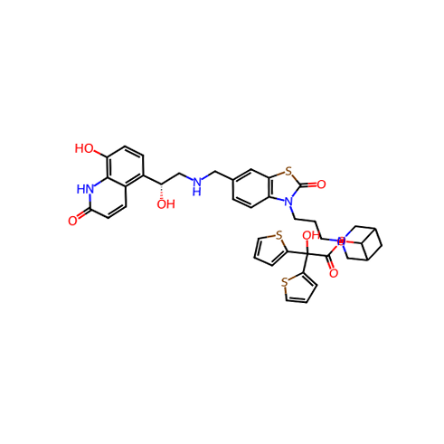 O=C(OC1C2CC1CN(CCCn1c(=O)sc3cc(CNC[C@H](O)c4ccc(O)c5[nH]c(=O)ccc45)ccc31)C2)C(O)(c1cccs1)c1cccs1